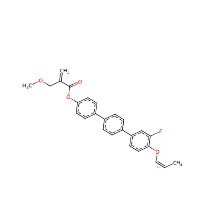 C=C(COC)C(=O)Oc1ccc(-c2ccc(-c3ccc(O/C=C\C)c(F)c3)cc2)cc1